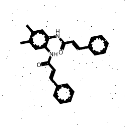 Cc1cc(NC(=O)/C=C/c2ccccc2)c(NC(=O)/C=C/c2ccccc2)cc1C